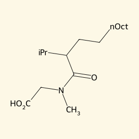 CCCCCCCCCCC(C(=O)N(C)CC(=O)O)C(C)C